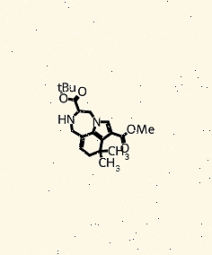 COC(=O)c1cn2c3c1C(C)(C)CC=C3CNC(C(=O)OC(C)(C)C)C2